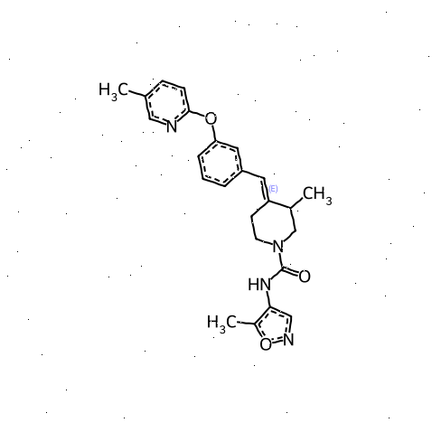 Cc1ccc(Oc2cccc(/C=C3\CCN(C(=O)Nc4cnoc4C)CC3C)c2)nc1